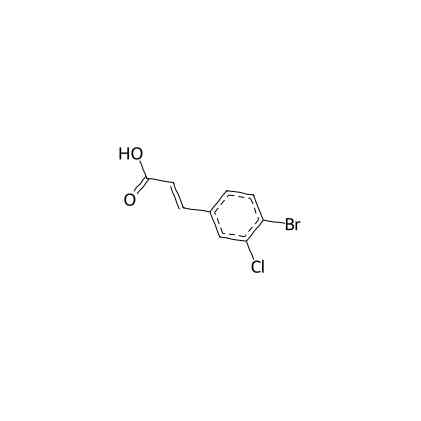 O=C(O)C=Cc1ccc(Br)c(Cl)c1